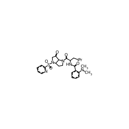 CC(C)CC(NC(=O)c1ccccc1N(C)C)C(=O)N1CCC2C1C(=O)CN2S(=O)(=O)c1ccccn1